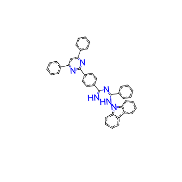 N=C(/N=C(\Nn1c2ccccc2c2ccccc21)c1ccccc1)c1ccc(-c2nc(-c3ccccc3)cc(-c3ccccc3)n2)cc1